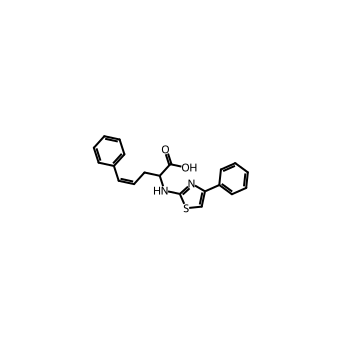 O=C(O)C(C/C=C\c1ccccc1)Nc1nc(-c2ccccc2)cs1